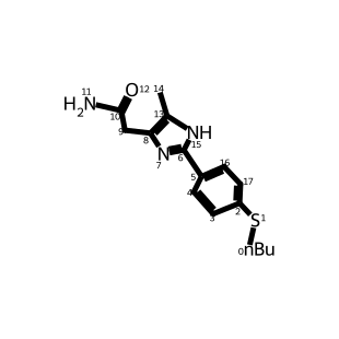 CCCCSc1ccc(-c2nc(CC(N)=O)c(C)[nH]2)cc1